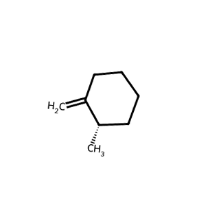 C=C1CCCC[C@@H]1C